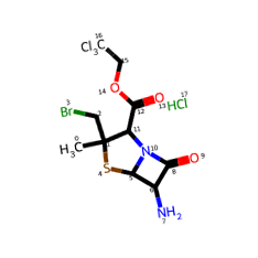 CC1(CBr)SC2C(N)C(=O)N2C1C(=O)OCC(Cl)(Cl)Cl.Cl